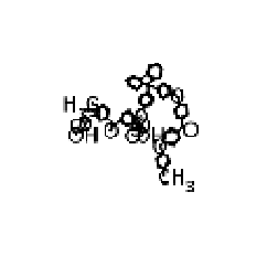 Cc1ccc(Oc2ccc(C(=O)c3ccc(Oc4ccc(C5(c6ccc(Oc7ccc(C(=O)c8ccc(C)c(SOOO)c8)cc7S(=O)(=O)O)cc6)c6ccccc6-c6ccccc65)cc4)cc3)cc2)cc1